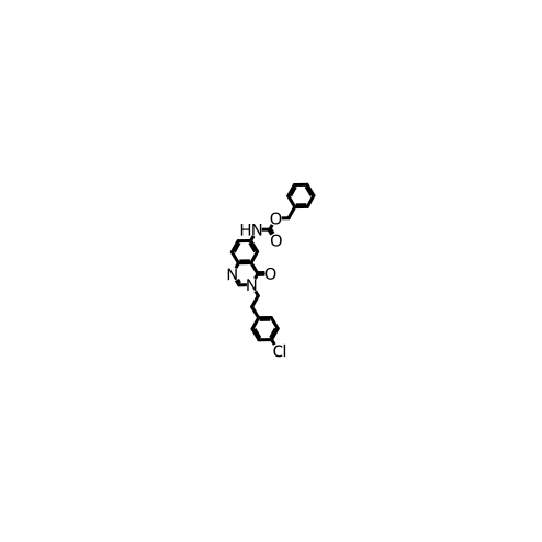 O=C(Nc1ccc2ncn(CCc3ccc(Cl)cc3)c(=O)c2c1)OCc1ccccc1